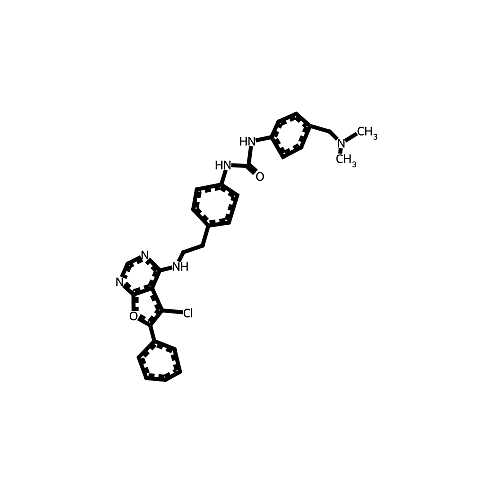 CN(C)Cc1ccc(NC(=O)Nc2ccc(CCNc3ncnc4oc(-c5ccccc5)c(Cl)c34)cc2)cc1